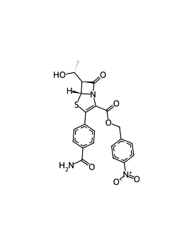 C[C@@H](O)[C@H]1C(=O)N2C(C(=O)OCc3ccc([N+](=O)[O-])cc3)=C(c3ccc(C(N)=O)cc3)S[C@H]12